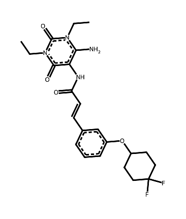 CCn1c(N)c(NC(=O)/C=C/c2cccc(OC3CCC(F)(F)CC3)c2)c(=O)n(CC)c1=O